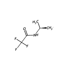 [CH2][C@H](C)NC(=O)C(F)(F)F